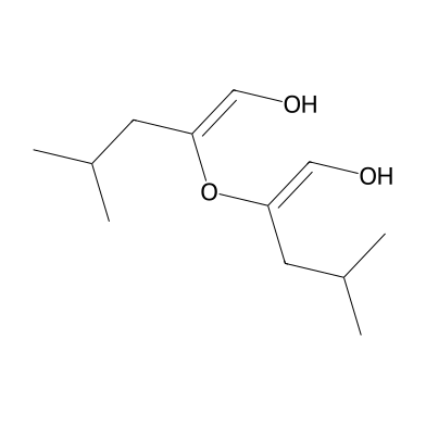 CC(C)CC(=CO)OC(=CO)CC(C)C